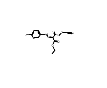 CCOC(=O)/C(=N/Nc1ccc(Br)cc1)C(=O)CSC#N